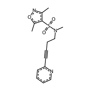 Cc1noc(C)c1S(=O)(=O)N(C)CCC#Cc1ccccn1